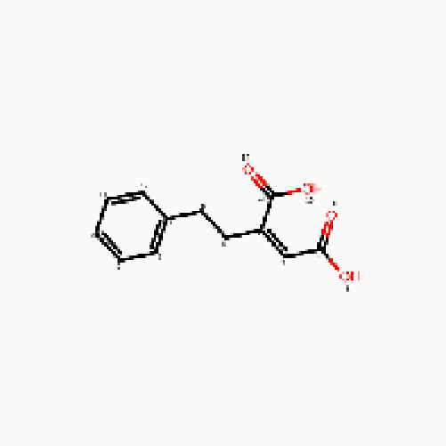 O=C(O)C=C(CCc1ccccc1)C(=O)O